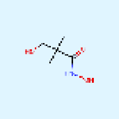 CC(C)(CO)C(=O)NO